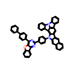 c1ccc(-c2ccc(-c3nc(-c4ccc(-n5c6cc7ccccc7cc6c6cc7c8ccccc8n8c9ccccc9c(c65)c78)cc4)nc4c3oc3ccccc34)cc2)cc1